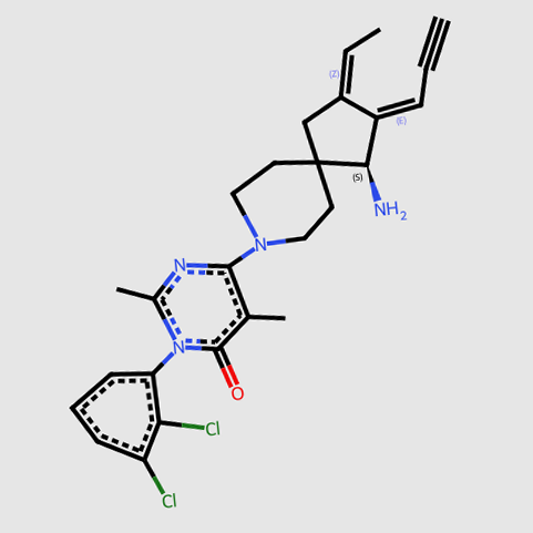 C#C/C=C1\C(=C/C)CC2(CCN(c3nc(C)n(-c4cccc(Cl)c4Cl)c(=O)c3C)CC2)[C@@H]1N